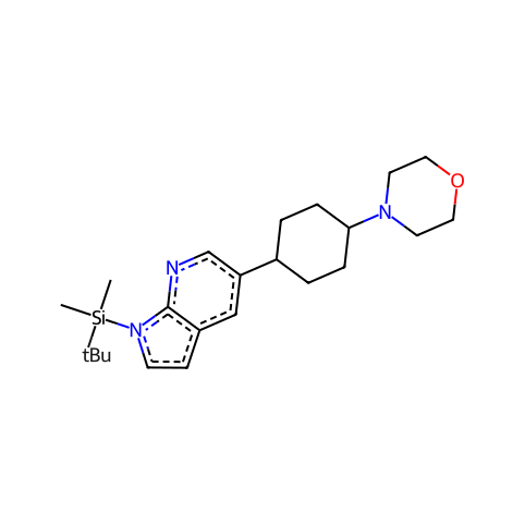 CC(C)(C)[Si](C)(C)n1ccc2cc(C3CCC(N4CCOCC4)CC3)cnc21